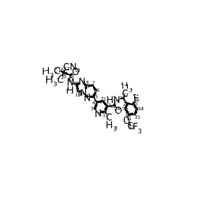 Cc1ncc(-c2ccc3nc(NC(=O)C(C)(C)C#N)cn3n2)cc1C(=O)NC(C)c1cc(OC(F)(F)F)ccc1F